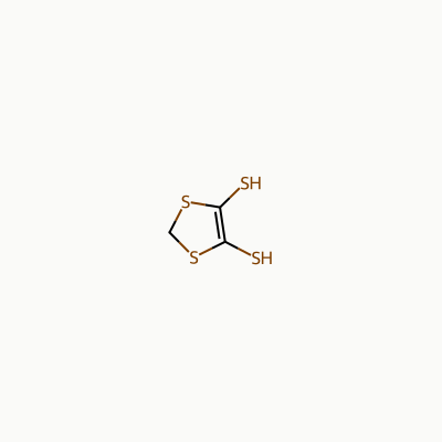 SC1=C(S)SCS1